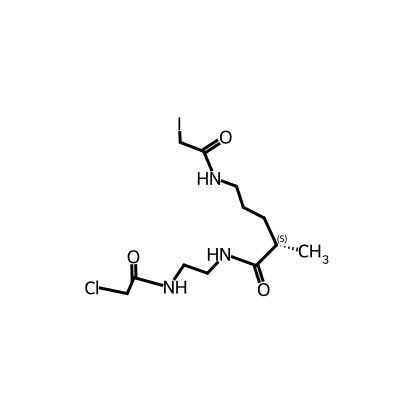 C[C@@H](CCCNC(=O)CI)C(=O)NCCNC(=O)CCl